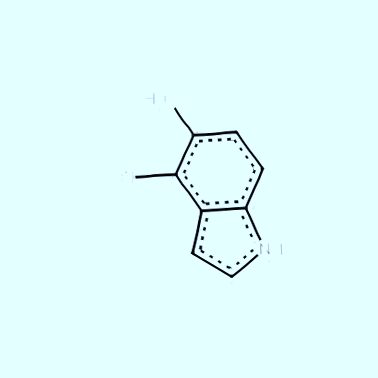 [CH2]c1ccc2[nH]ccc2c1Cl